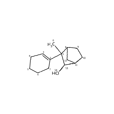 CC1(C2=CCCCC2)C2CCC(C2)C1O